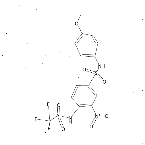 COc1ccc(NS(=O)(=O)c2ccc(NS(=O)(=O)C(F)(F)F)c([N+](=O)[O-])c2)cc1